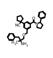 CC(N)(COCc1cc(C(=O)N2CCCC2c2ccccc2)cc(C2(C#N)CCCC2)c1)Cc1ccccc1